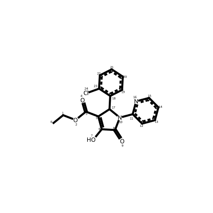 CCOC(=O)C1=C(O)C(=O)N(c2ccccn2)C1c1ccccc1Cl